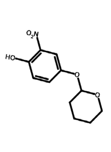 O=[N+]([O-])c1cc(OC2CCCCO2)ccc1O